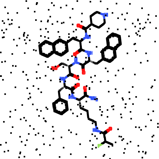 CC(F)C(=O)NCCCC[C@H](NC(=O)[C@H](Cc1ccccc1)NC(=O)[C@H](CO)NC(=O)[C@@H](Cc1ccc2ccccc2c1)NC(=O)[C@@H](Cc1ccc2ccccc2c1)NC(=O)C1CCNCC1)C(N)=O